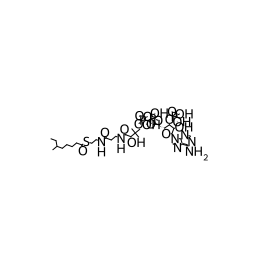 CCC(C)CCCCC(=O)SCCNC(=O)CCNC(=O)[C@H](O)C(C)(C)COP(=O)(O)OP(=O)(O)OC[C@H]1O[C@@H](n2cnc3c(N)ncnc32)[C@H](O)[C@@H]1OP(=O)(O)O